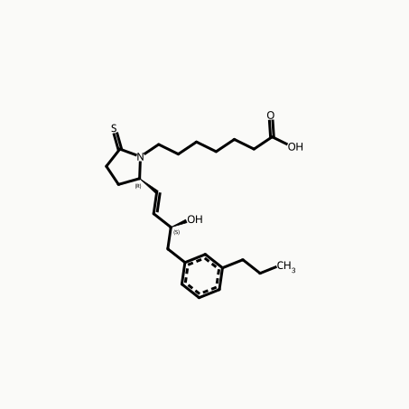 CCCc1cccc(C[C@H](O)C=C[C@H]2CCC(=S)N2CCCCCCC(=O)O)c1